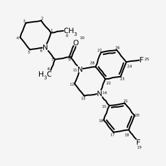 CC1CCCCN1C(C)C(=O)N1CCN(c2ccc(F)cc2)c2cc(F)ccc21